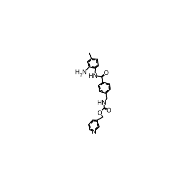 Cc1ccc(NC(=O)c2ccc(CNC(=O)OCc3cccnc3)cc2)c(N)c1